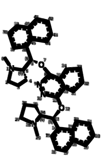 CN1CCC[C@H]1[C@@H](Oc1nnc(O[C@@H](c2cccc3ccccc23)[C@@H]2CCCN2C)c2ccccc12)c1cccc2ccccc12